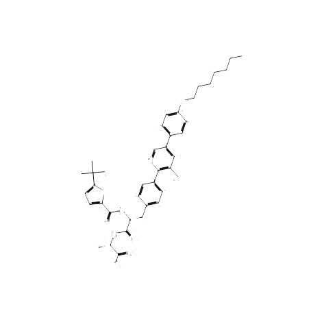 CCCCCCCOc1ccc(-c2cnc(-c3ccc(C[C@H](NC(=O)c4ccc(C(C)(C)C)s4)C(=O)N[C@H](C)C(=O)O)cc3)c(C)c2)cc1